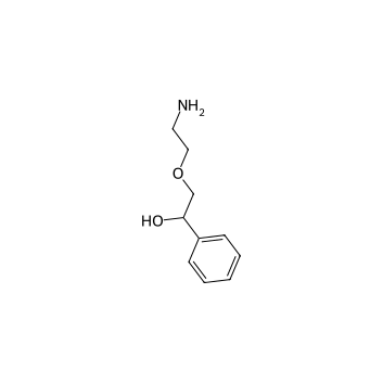 NCCOCC(O)c1ccccc1